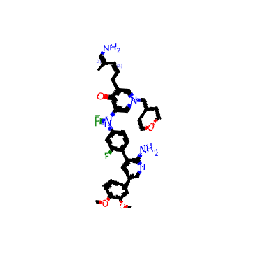 COc1ccc(-c2cnc(N)c(-c3ccc(N(F)c4cn(CC5CCOCC5)cc(C/C=C\C(C)=C/N)c4=O)cc3F)c2)cc1OC